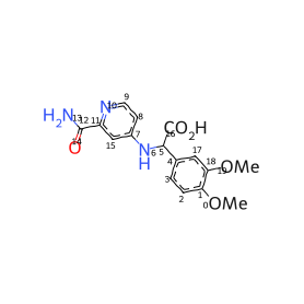 COc1ccc(C(Nc2ccnc(C(N)=O)c2)C(=O)O)cc1OC